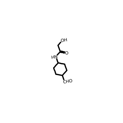 O=CC1CCC(NC(=O)CO)CC1